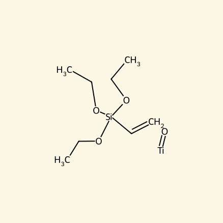 C=C[Si](OCC)(OCC)OCC.[O]=[Ti]